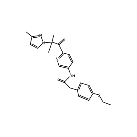 C=C(Cc1ccc(SCC)cc1)Nc1ccc(C(=C)C(C)(C)n2ccc(C)n2)nc1